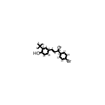 CC(C)(C)c1cc(/C=C/C(=O)c2ccc(Br)cc2)ccc1O